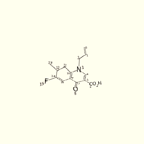 C=CCn1cc(C(=O)O)c(=O)c2c1CC(C)C(F)=C2